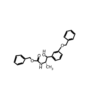 C[C@H](NC(=O)OCc1ccccc1)C(O)c1cccc(OCc2ccccc2)c1